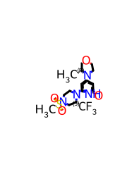 C[C@@H]1COCCN1c1cc(N2CCN(S(C)(=O)=O)C[C@H]2C(F)(F)F)[nH]c(=O)c1